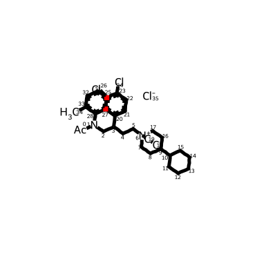 CC(=O)N(CC(CC[N+]12CCC(C3CCCCC3)(CC1)CC2)c1ccc(Cl)c(Cl)c1)c1ccccc1C.[Cl-]